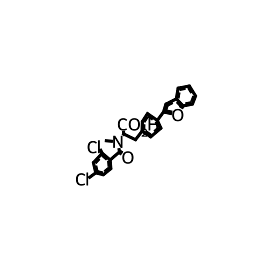 CN(C(=O)c1ccc(Cl)cc1Cl)C(Cc1ccc(-c2cc3ccccc3o2)cc1)C(=O)O